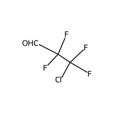 O=CC(F)(F)C(F)(F)Cl